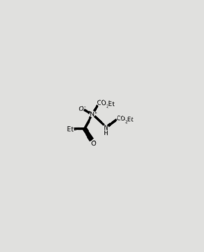 CCOC(=O)N[N+]([O-])(C(=O)CC)C(=O)OCC